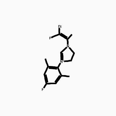 CCC(F)=C(C)N1C=[N+](c2c(C)cc(F)cc2C)CC1